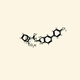 O=C(Nc1nc2ccc(-c3ccc(C(F)(F)F)cc3)cc2s1)[C@@H]1C2C=CC(C2)[C@@H]1C(=O)O